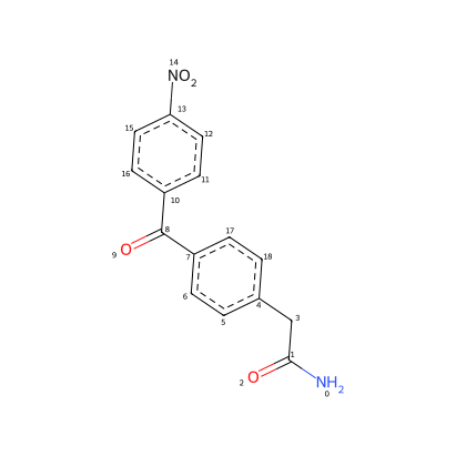 NC(=O)Cc1ccc(C(=O)c2ccc([N+](=O)[O-])cc2)cc1